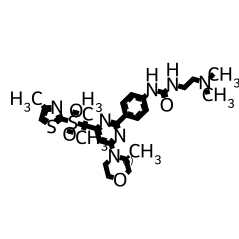 Cc1csc(S(=O)(=O)C(C)(C)c2cc(N3CCOC[C@@H]3C)nc(-c3ccc(NC(=O)NCCN(C)C)cc3)n2)n1